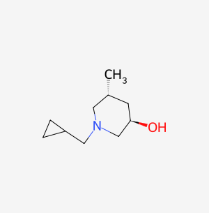 C[C@@H]1C[C@@H](O)CN(CC2CC2)C1